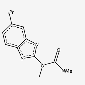 CNC(=O)N(C)c1nc2cc(C(C)C)ccc2s1